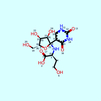 O=C(O)[C@H](CCO)N[C@@]1(c2c[nH]c(=O)[nH]c2=O)O[C@H](CO)[C@@H](O)[C@H]1O